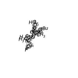 C[C@@H]1CN(CC(=O)N2CC(C)(C)c3ncc(Cc4ccc(F)cc4F)cc32)[C@H](C(=O)N2Cc3ccc(O)cc3C2)CN1C(=O)OC(C)(C)C